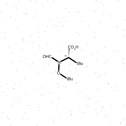 CC(C)(C)ON(C=O)[C@H](C(=O)O)C(C)(C)C